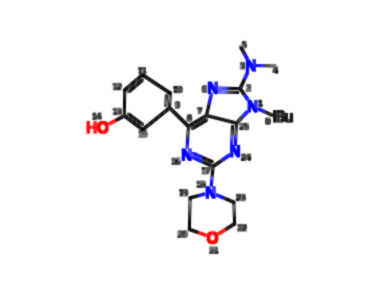 CCC(C)n1c(N(C)C)nc2c(-c3cccc(O)c3)nc(N3CCOCC3)nc21